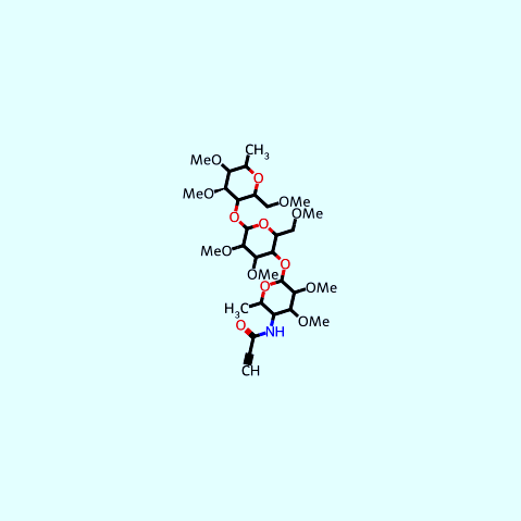 C#CC(=O)NC1C(C)OC(OC2C(COC)OC(OC3C(COC)OC(C)C(OC)[C@@H]3OC)C(OC)C2OC)C(OC)C1OC